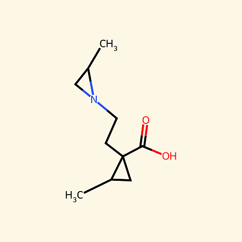 CC1CN1CCC1(C(=O)O)CC1C